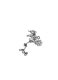 CCCCCC[C@H](OC1C(OC(=O)c2ccccc2)[C@H](O[C@@H]2CC(C(=O)NCCCc3cn(CCCc4c[nH]c5ccc([N+](=O)[O-])cc45)nn3)CC(C)C2O[C@@H]2OC(C)[C@@H](O)C(O)C2O)OC(CO)[C@@H]1O)C(=O)O